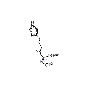 CN/C(=N\C#N)NCCCc1c[nH]cn1